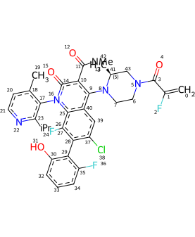 C=C(F)C(=O)N1CCN(c2c(C(=O)NC)c(=O)n(-c3c(C)ccnc3C(C)C)c3c(F)c(-c4c(O)cccc4F)c(Cl)cc23)[C@@H](C)C1